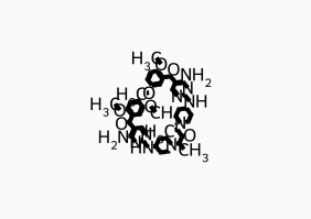 COc1ccc(OC)c(C(=O)c2cnc(NC3CCN(C(C)C(=O)C(C)N4CCC(Nc5ncc(C(=O)c6cc(OC)ccc6OC)c(N)n5)CC4)CC3)nc2N)c1